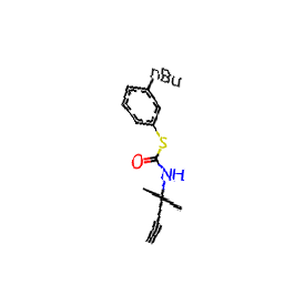 C#CC(C)(C)NC(=O)Sc1cccc(CCCC)c1